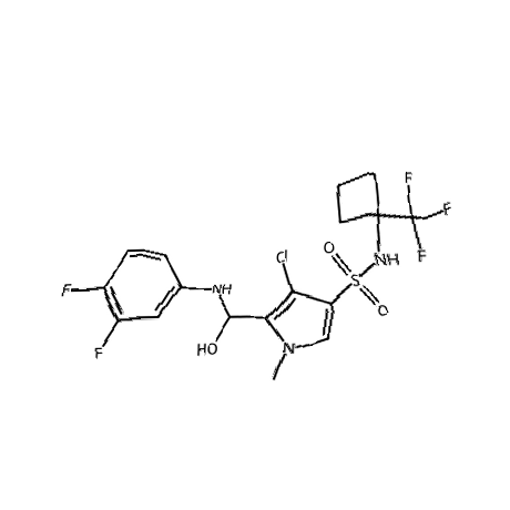 Cn1cc(S(=O)(=O)NC2(C(F)(F)F)CCC2)c(Cl)c1C(O)Nc1ccc(F)c(F)c1